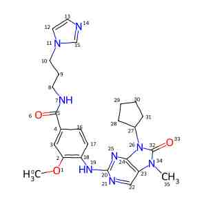 COc1cc(C(=O)NCCCn2ccnc2)ccc1Nc1ncc2c(n1)n(C1CCCC1)c(=O)n2C